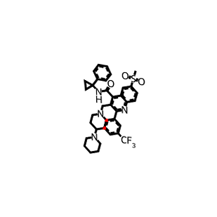 CS(=O)(=O)c1ccc2nc(-c3cccc(C(F)(F)F)c3)c(CN3CCC(N4CCCCC4)CC3)c(C(=O)NC3(c4ccccc4)CC3)c2c1